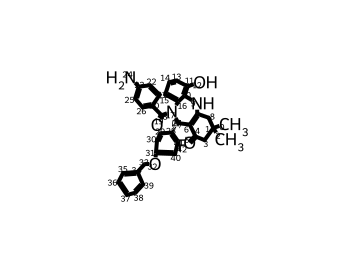 CC1(C)CC(=O)C2=C(C1)Nc1c(O)cccc1N(C(=O)c1ccc(N)cc1)[C@H]2c1ccc(OCc2ccccc2)cc1F